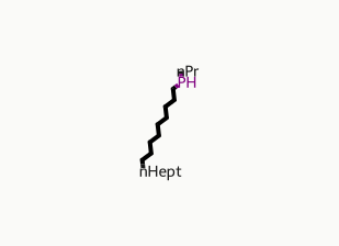 CCCCCCCCCCCCCCCCPCCC